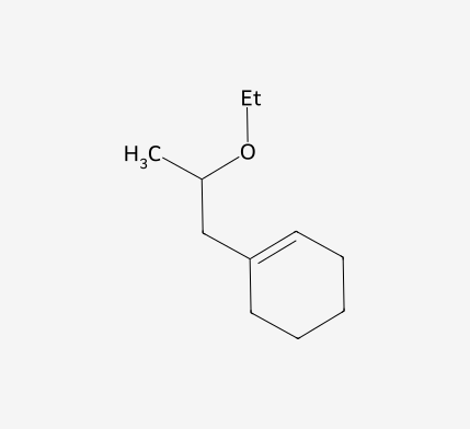 CCOC(C)CC1=CCCCC1